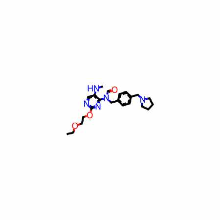 CCOCCOc1ncc(NC)c(N(C=O)Cc2ccc(CN3CCCC3)cc2)n1